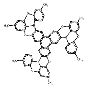 Cc1ccc2c(c1)Oc1cc(C)cc3c1B2c1cc2c(cc1O3)c1cc3c(cc1c1cc4c(cc21)Oc1cc(C)cc2c1B4c1ccc(C)cc1O2)Oc1cc(C)cc2c1B3c1ccc(C)cc1O2